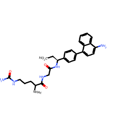 CC(=O)NC(CCCNC(N)=O)C(=O)NCC(=O)N[C@@H](CC(=O)O)c1ccc(-c2ccc(N)c3ccccc23)cc1